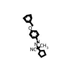 CC(C#N)(/N=N/c1ccc(OCc2ccccc2)cc1)C1CCCC1